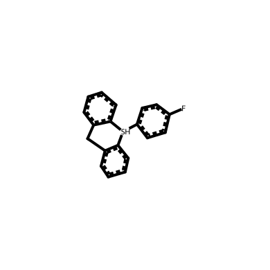 Fc1ccc([SH]2c3ccccc3Cc3ccccc32)cc1